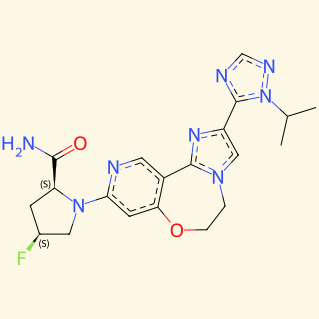 CC(C)n1ncnc1-c1cn2c(n1)-c1cnc(N3C[C@@H](F)C[C@H]3C(N)=O)cc1OCC2